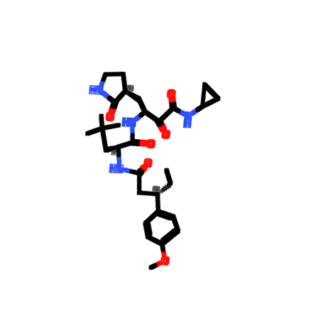 CC[C@@H](CC(=O)N[C@@H](CC(C)(C)C)C(=O)NC(C[C@@H]1CCNC1=O)C(=O)C(=O)NC1CC1)c1ccc(OC)cc1